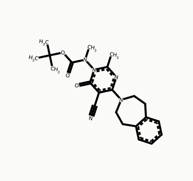 Cc1nc(N2CCc3ccccc3CC2)c(C#N)c(=O)n1N(C)C(=O)OC(C)(C)C